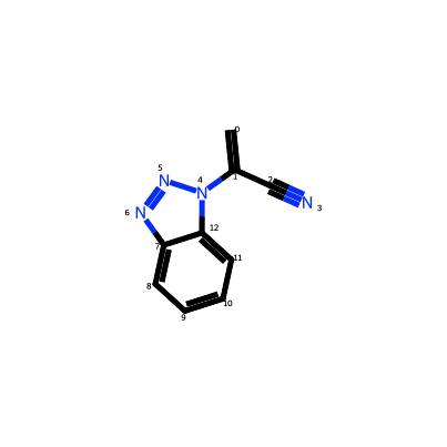 C=C(C#N)n1nnc2ccccc21